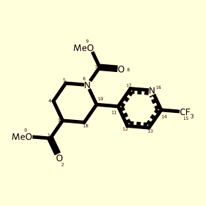 COC(=O)C1CCN(C(=O)OC)C(c2ccc(C(F)(F)F)nc2)C1